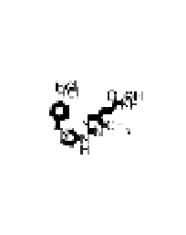 Cc1nc(NC2CCN(Cc3ccccc3)C2)ncc1C=CC(=O)NO.Cl.Cl